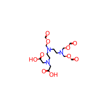 O=COCN(CCN(COC=O)COC=O)CCN(CC(=O)O)CC(=O)O